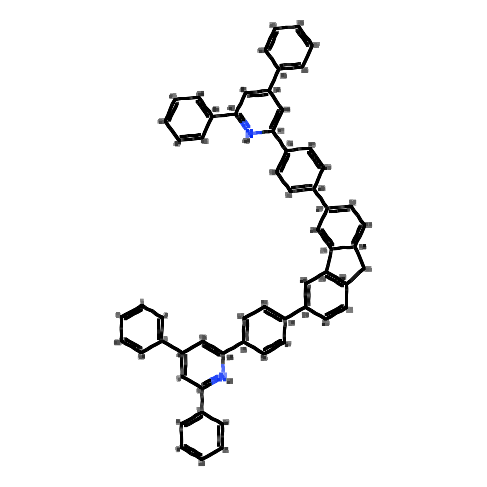 c1ccc(-c2cc(-c3ccccc3)nc(-c3ccc(-c4ccc5c(c4)-c4cc(-c6ccc(-c7cc(-c8ccccc8)cc(-c8ccccc8)n7)cc6)ccc4C5)cc3)c2)cc1